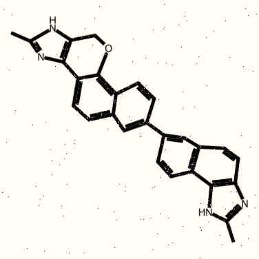 Cc1nc2c([nH]1)COc1c-2ccc2cc(-c3ccc4c(ccc5nc(C)[nH]c54)c3)ccc12